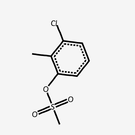 Cc1c(Cl)cccc1OS(C)(=O)=O